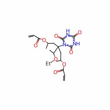 C=CC(=O)OC(C)CC(CC(C)OC(=O)C=C)(C(C)OCC)n1c(=O)[nH]c(=O)[nH]c1=O